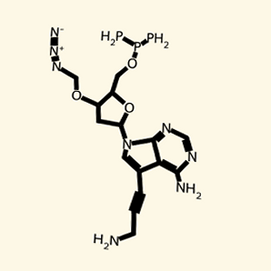 [N-]=[N+]=NCOC1CC(n2cc(C#CCN)c3c(N)ncnc32)OC1COP(P)P